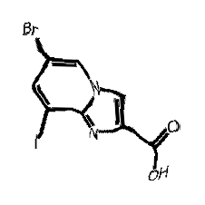 O=C(O)c1cn2cc(Br)cc(I)c2n1